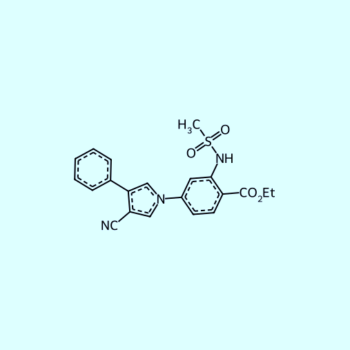 CCOC(=O)c1ccc(-n2cc(C#N)c(-c3ccccc3)c2)cc1NS(C)(=O)=O